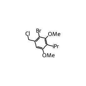 COc1cc(CCl)c(Br)c(OC)c1C(C)C